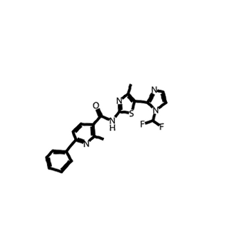 Cc1nc(-c2ccccc2)ccc1C(=O)Nc1nc(C)c(-c2nccn2C(F)F)s1